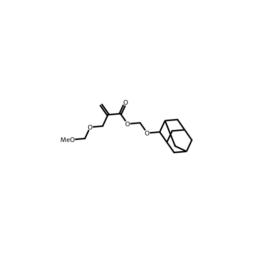 C=C(COCOC)C(=O)OCOC1C2CC3CC(C2)CC1C3